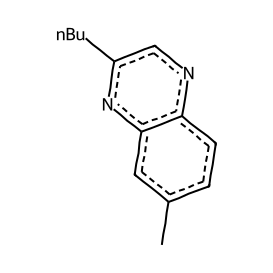 CCCCc1cnc2ccc(C)cc2n1